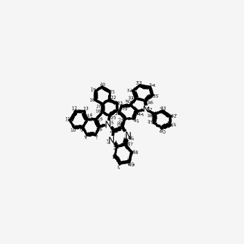 C1=Cc2nc(-n3c4ccc5ccccc5c4c4c5ccccc5ccc43)c(-c3ccc4c5ccccc5n(-c5ccccc5)c4c3)nc2CC1